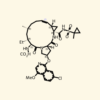 CC[C@@H]1C[C@H](C)CC/C=C\[C@@H]2C[C@@]2(C(=O)NS(=O)(=O)C2(C)CC2)NC(=O)[C@@H]2C[C@@H](Oc3ncc(OC)c4ccc(Cl)cc34)CN2C(=O)[C@H]1NC(=O)O